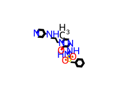 Cc1cnc(NNS(=O)(=O)Cc2ccccc2)c(=O)n1CCCNc1ccncc1